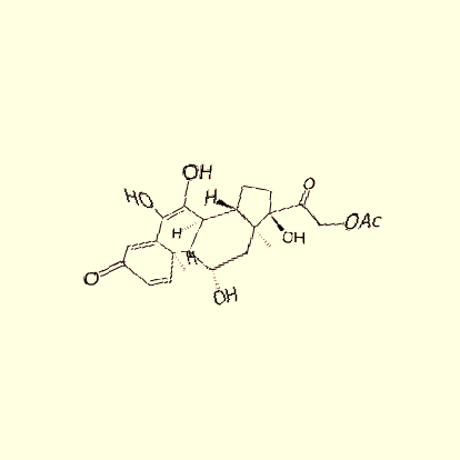 CC(=O)OCC(=O)[C@@]1(O)CC[C@H]2[C@@H]3C(O)=C(O)C4=CC(=O)C=C[C@]4(C)[C@H]3[C@@H](O)C[C@@]21C